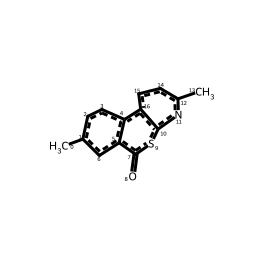 Cc1ccc2c(c1)c(=O)sc1nc(C)ccc12